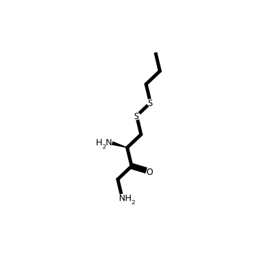 CCCSSC[C@H](N)C(=O)CN